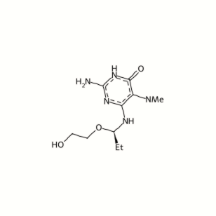 CC[C@H](Nc1nc(N)[nH]c(=O)c1NC)OCCO